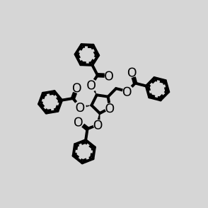 O=C(OCC1O[C@@H](OC(=O)c2ccccc2)[C@H](OC(=O)c2ccccc2)[C@@H]1OC(=O)c1ccccc1)c1ccccc1